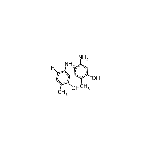 Cc1cc(F)c(N)cc1O.Cc1ccc(N)cc1O